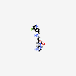 O=C1OC(CCNCC2Cc3nccc(F)c3C2)CN1C1=CNCC=N1